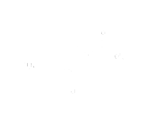 NCc1ccc(C([O])C(F)(F)F)cc1Cl